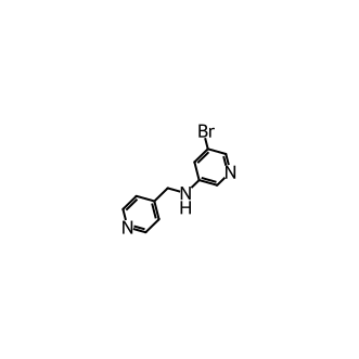 Brc1cncc(NCc2ccncc2)c1